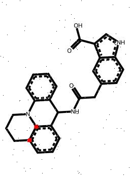 O=C(Cc1ccc2[nH]cc(C(=O)O)c2c1)NC(c1ccccc1)c1ccccc1N1CCCCC1